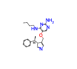 CCCCNc1nc(N)ncc1OCC1=CN=CC1[C@H](C)c1ccccc1